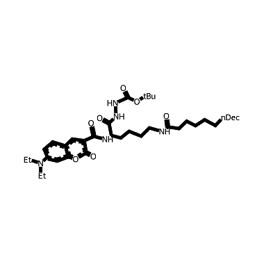 CCCCCCCCCCCCCCCC(=O)NCCCCC(NC(=O)c1cc2ccc(N(CC)CC)cc2oc1=O)C(=O)NNC(=O)OC(C)(C)C